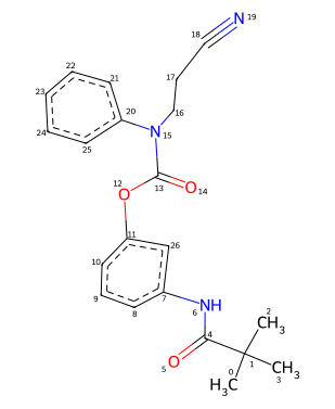 CC(C)(C)C(=O)Nc1cccc(OC(=O)N(CCC#N)c2ccccc2)c1